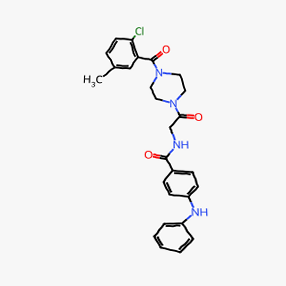 Cc1ccc(Cl)c(C(=O)N2CCN(C(=O)CNC(=O)c3ccc(Nc4ccccc4)cc3)CC2)c1